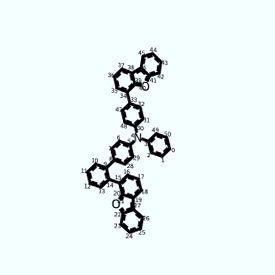 c1ccc(N(c2ccc(-c3ccccc3-c3cccc4c3oc3ccccc34)cc2)c2ccc(-c3cccc4c3oc3ccccc34)cc2)cc1